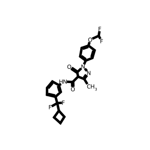 CC1=NN(c2ccc(OC(F)F)cc2)C(=O)C1C(=O)Nc1cccc(C(F)(F)C2CCC2)c1